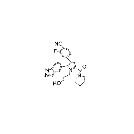 Cn1cc2cc(-c3c(-c4ccc(C#N)c(F)c4)cc(C(=O)N4CCCCC4)n3CCCO)ccc2n1